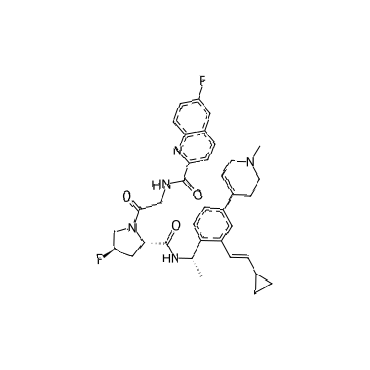 C[C@H](NC(=O)[C@@H]1C[C@@H](F)CN1C(=O)CNC(=O)c1ccc2cc(F)ccc2n1)c1ccc(C2=CCN(C)CC2)cc1/C=C/C1CC1